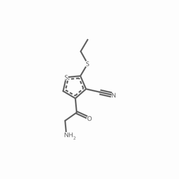 CCSc1scc(C(=O)CN)c1C#N